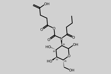 C=C(O)CCC(=O)OC(=O)N(C(=O)CCC)[C@H]1C(O)O[C@H](CO)[C@@H](O)[C@@H]1O